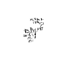 N=C(N)Nc1cccc(C(=O)NCC(=O)NC(CC(=O)O)c2cc(Br)c(O)c(Br)c2)c1